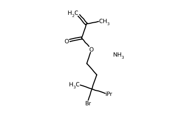 C=C(C)C(=O)OCCC(C)(Br)C(C)C.N